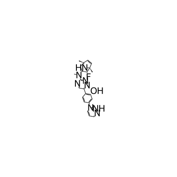 CN(c1ncc(-c2ccc(N3C=CC=NN3)cc2O)nn1)[C@H]1C[C@]2(C)C=C[C@@](C)(N2)[C@@H]1F